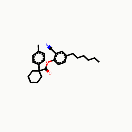 CCCCCCc1ccc(OC(=O)C2(c3ccc(C)cc3)CCCCC2)c(C#N)c1